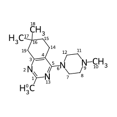 Cc1nc2c(c(N3CCN(C)CC3)n1)CCC(C)(C)C2